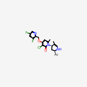 CC(=O)[C@H]1C[C@@H](n2c(C)cc(OCc3ncc(F)cc3F)c(Cl)c2=O)C(C)=CN1